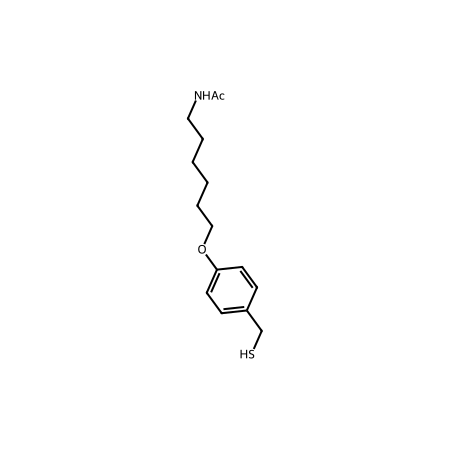 CC(=O)NCCCCCCOc1ccc(CS)cc1